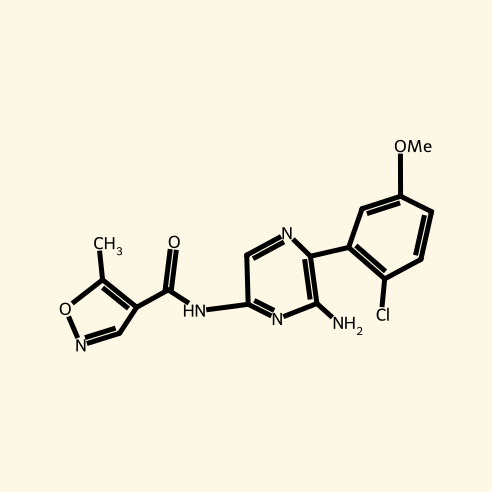 COc1ccc(Cl)c(-c2ncc(NC(=O)c3cnoc3C)nc2N)c1